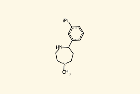 CC(C)c1cccc(C2CCN(C)CCN2)c1